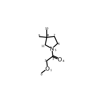 COCC(=O)N1CCC(C)(C)C1